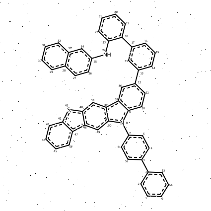 c1ccc(-c2ccc(-n3c4ccc(-c5cccc(-c6ccccc6Nc6ccc7ccccc7c6)c5)cc4c4cc5sc6ccccc6c5cc43)cc2)cc1